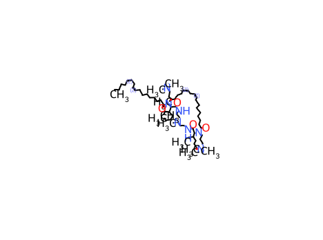 CCCCC/C=C\C/C=C\CCCCCCCC(=O)N(CCCN(C)C)C(C(=O)NCCN(C)CCNC(=O)C(C(CC)CCCC)N(CCCN(C)C)C(=O)CCCCCCC/C=C\C/C=C\CCCCC)C(CC)CCCC